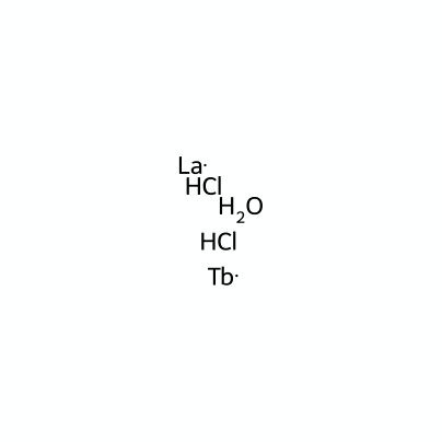 Cl.Cl.O.[La].[Tb]